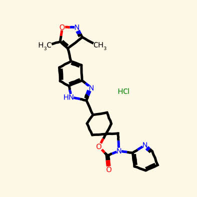 Cc1noc(C)c1-c1ccc2[nH]c(C3CCC4(CC3)CN(c3ccccn3)C(=O)O4)nc2c1.Cl